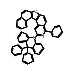 c1ccc(-c2nc(N3c4ccccc4C(c4ccccc4)(c4ccccc4)c4ccccc43)cc3c2ccc2oc4ccc5ccccc5c4c23)cc1